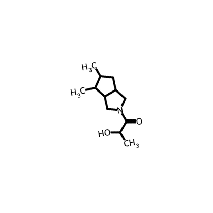 CC(O)C(=O)N1CC2CC(C)C(C)C2C1